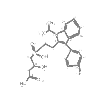 CC(C)n1c(CCP(=O)(O)C[C@@H](O)CC(=O)O)c(-c2ccc(F)cc2)c2ccccc21